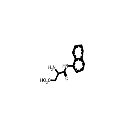 NC(CC(=O)O)C(=O)Nc1cccc2ccccc12